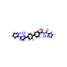 O=C(Nc1noc2cc(-c3ccc(-c4cnc([C@@H]5CCCN5)[nH]4)cc3)ccc12)[C@@H]1CCCN1